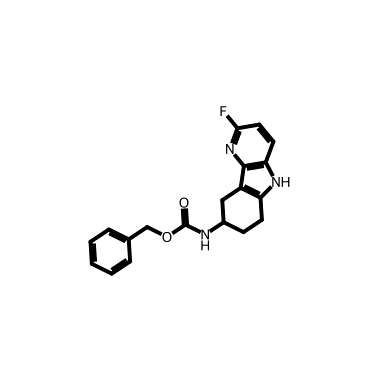 O=C(NC1CCc2[nH]c3ccc(F)nc3c2C1)OCc1ccccc1